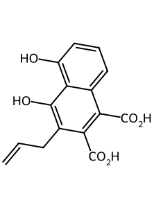 C=CCc1c(C(=O)O)c(C(=O)O)c2cccc(O)c2c1O